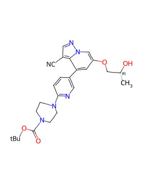 C[C@@H](O)COc1cc(-c2ccc(N3CCN(C(=O)OC(C)(C)C)CC3)nc2)c2c(C#N)cnn2c1